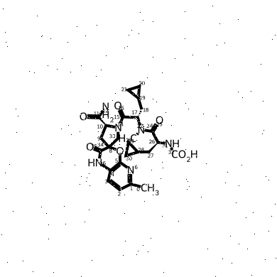 Cc1ccc2c(n1)OC1(C[C@@H](C(N)=O)N(C(=O)[C@H](CC3CC3)N(C)C(=O)[C@H](CC3CC3)NC(=O)O)C1)C(=O)N2